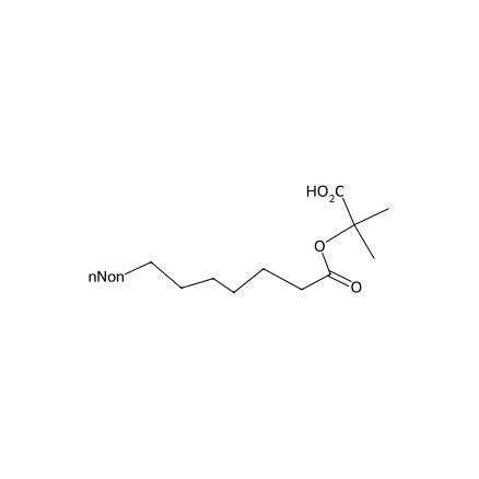 CCCCCCCCCCCCCCCC(=O)OC(C)(C)C(=O)O